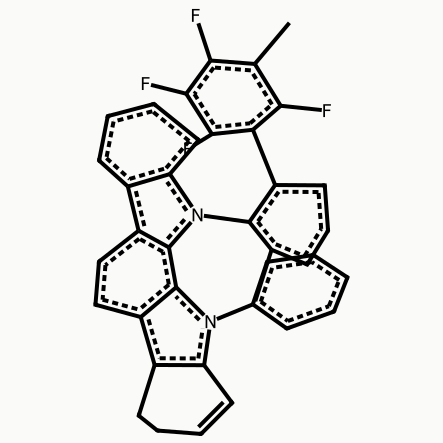 Cc1cccc(-c2c(F)c(C)c(F)c(F)c2F)c1-n1c2ccccc2c2ccc3c4c(n(-c5ccccc5)c3c21)C=CCC4